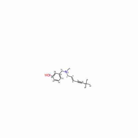 CN(CC=CC#CC(C)(C)C)Cc1cccc(O)c1